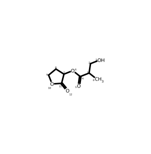 CC(CO)C(=O)OC1CCOC1=O